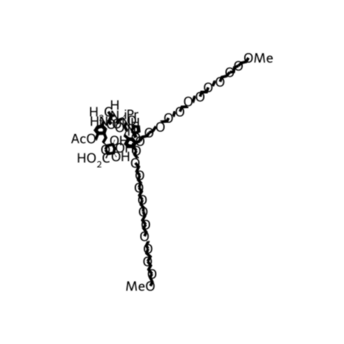 COCCOCCOCCOCCOCCOCCOCCOCCOCCOCCOCCOc1ccc(C[C@@H](C(=O)N[C@H](C(=O)NC(C)C(=O)Nc2ccc(COC(C)=O)c(CC[C@@H]3O[C@H](C(=O)O)[C@@H](O)[C@H](O)[C@H]3O)c2)C(C)C)N2C(=O)C=CC2=O)cc1OCCOCCOCCOCCOCCOCCOCCOCCOCCOCCOCCOC